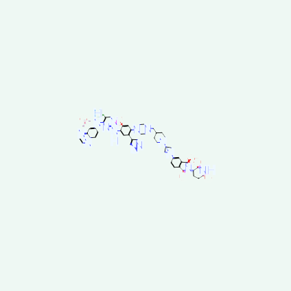 COc1cc(N2CCN(CC3CCN(C4CN(c5ccc6c(c5)C(=O)N(C5CCC(=O)NC5=O)C6=O)C4)CC3)CC2)c(-c2cnn(C)c2)cc1Nc1ncc(Cl)c(Nc2ccc3nccnc3c2P(C)(C)=O)n1